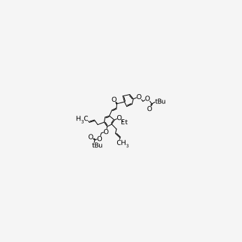 CC=CCc1cc(C=CC(=O)c2ccc(OCOC(=O)C(C)(C)C)cc2)c(OCC)c(CC=CC)c1OCOC(=O)C(C)(C)C